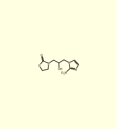 O=C1OCCN1CC(O)Cn1ccnc1[N+](=O)[O-]